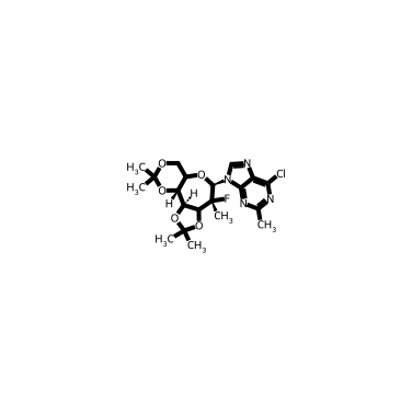 Cc1nc(Cl)c2ncn([C@@H]3OC4COC(C)(C)O[C@H]4[C@@H]4OC(C)(C)OC4[C@@]3(C)F)c2n1